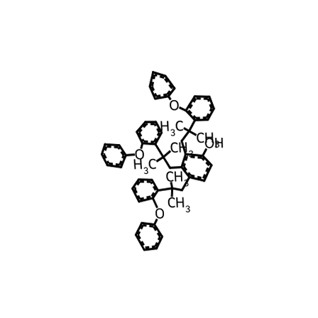 CC(C)(Cc1ccc(O)c(CC(C)(C)c2ccccc2Oc2ccccc2)c1CC(C)(C)c1ccccc1Oc1ccccc1)c1ccccc1Oc1ccccc1